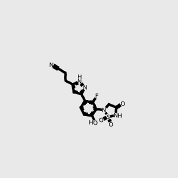 N#CCCc1cc(-c2ccc(O)c(N3CC(=O)NS3(=O)=O)c2F)n[nH]1